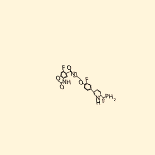 O=C1COc2cc(F)c(C(=O)N3CC(COc4ccc(C5=CNC(C(F)P)C=C5)cc4F)C3)cc2N1